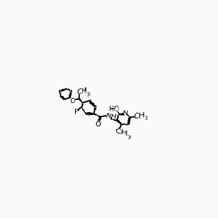 Cc1cc(C)c(CNC(=O)c2ccc(C(C)Oc3ccccc3)c(F)c2)c(O)n1